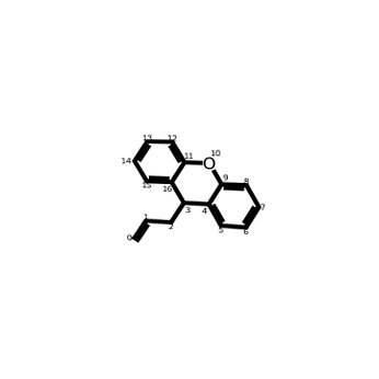 C=CCC1c2ccccc2Oc2ccccc21